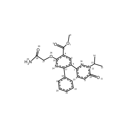 COC(=O)c1cc(-c2ccc(=O)n(C(C)C)n2)c(-c2ccccc2)nc1OCC(N)=O